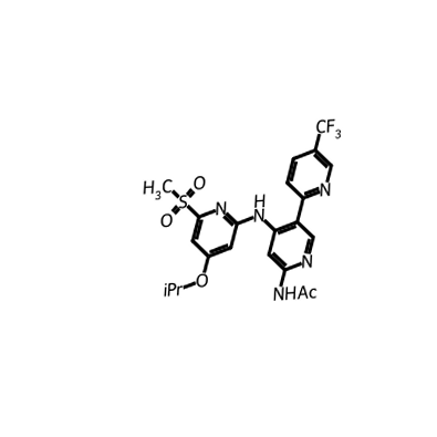 CC(=O)Nc1cc(Nc2cc(OC(C)C)cc(S(C)(=O)=O)n2)c(-c2ccc(C(F)(F)F)cn2)cn1